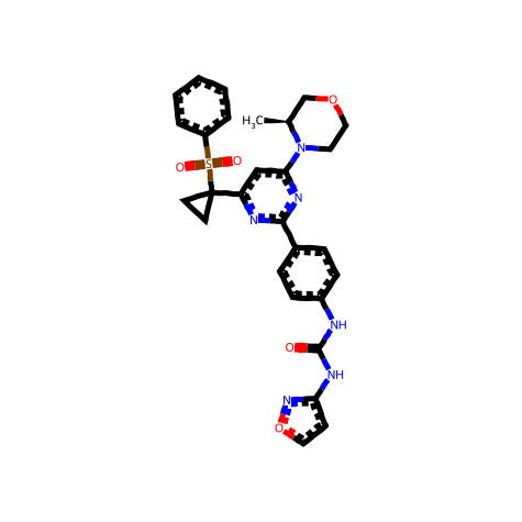 C[C@H]1COCCN1c1cc(C2(S(=O)(=O)c3ccccc3)CC2)nc(-c2ccc(NC(=O)Nc3ccon3)cc2)n1